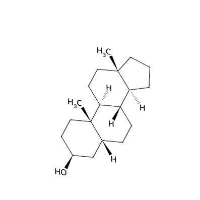 C[C@@]12CCC[C@H]1[C@@H]1CC[C@@H]3C[C@@H](O)CC[C@]3(C)[C@H]1CC2